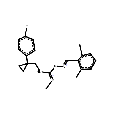 C/N=C(\NCC1(c2ccc(F)cc2)CC1)N/N=C/c1c(C)cccc1C